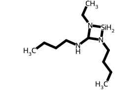 CCCCNC1N(CC)[SiH2]N1CCCC